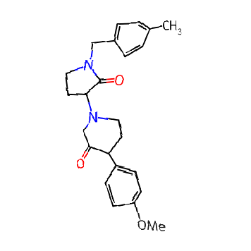 COc1ccc(C2CCN(C3CCN(Cc4ccc(C)cc4)C3=O)CC2=O)cc1